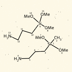 CO[Si](C)(CCCN)OC.CO[Si](CCCN)(OC)OC